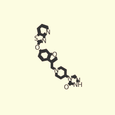 O=c1[nH]ncn1C1CCN(Cc2coc3cc(Oc4nc5ncccc5s4)ccc23)CC1